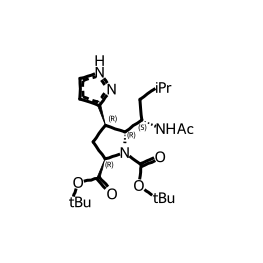 CC(=O)N[C@@H](CC(C)C)[C@H]1[C@H](c2cc[nH]n2)C[C@H](C(=O)OC(C)(C)C)N1C(=O)OC(C)(C)C